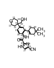 CC1(C)CC=C(c2cc(C3(CO)CCOCC3)ccc2NC(=O)c2nc(C#N)c[nH]2)CC1